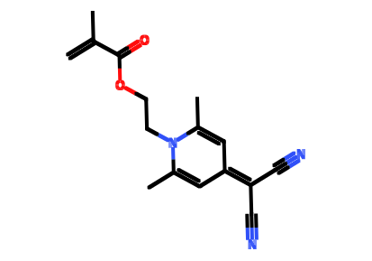 C=C(C)C(=O)OCCN1C(C)=CC(=C(C#N)C#N)C=C1C